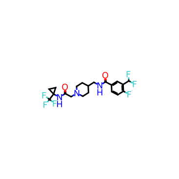 O=C(CN1CCC(CNC(=O)c2ccc(F)c(C(F)F)c2)CC1)NC1(C(F)(F)F)CC1